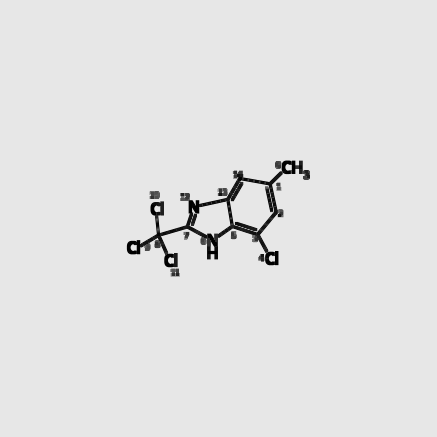 Cc1cc(Cl)c2[nH]c(C(Cl)(Cl)Cl)nc2c1